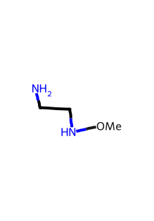 CONCCN